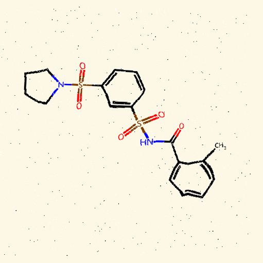 Cc1ccccc1C(=O)NS(=O)(=O)c1cccc(S(=O)(=O)N2CCCC2)c1